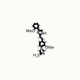 COc1ccccc1-c1c[nH]c(/C=C/c2ccc(-n3cnc(C)c3)c(OC)c2)n1